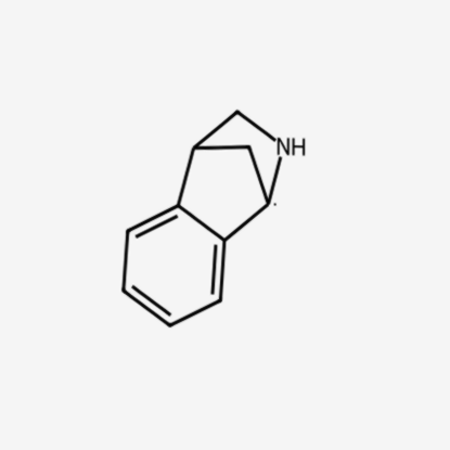 c1ccc2c(c1)[C]1CC2CN1